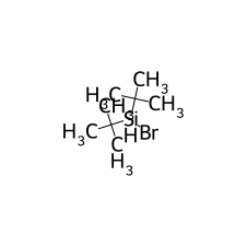 CC(C)(C)[SiH](Br)C(C)(C)C